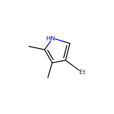 CCc1c[nH]c(C)c1C